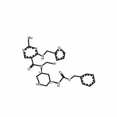 CC(C)CN(C(=O)c1cnc(C(C)(C)C)nc1NCc1ccco1)[C@@H]1CNC[C@H](NC(=O)OCc2ccccc2)C1